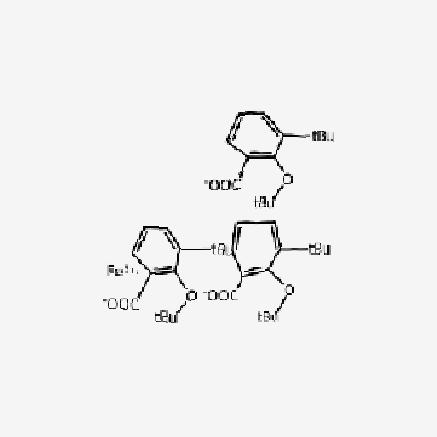 CC(C)(C)Oc1c(C(=O)[O-])cccc1C(C)(C)C.CC(C)(C)Oc1c(C(=O)[O-])cccc1C(C)(C)C.CC(C)(C)Oc1c(C(=O)[O-])cccc1C(C)(C)C.[Fe+3]